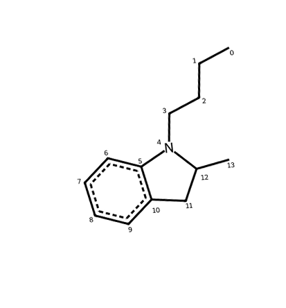 CCCCN1c2ccccc2CC1C